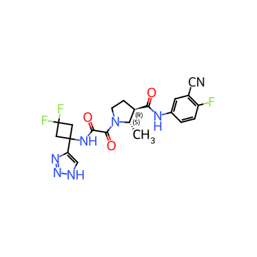 C[C@H]1[C@H](C(=O)Nc2ccc(F)c(C#N)c2)CCN1C(=O)C(=O)NC1(c2c[nH]nn2)CC(F)(F)C1